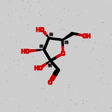 O=C[C@]1(O)O[C@H](CO)[C@@H](O)[C@H]1O